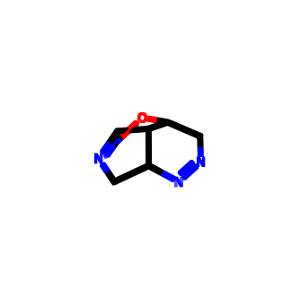 C1=[N+]2CC3N=NCC(O2)C13